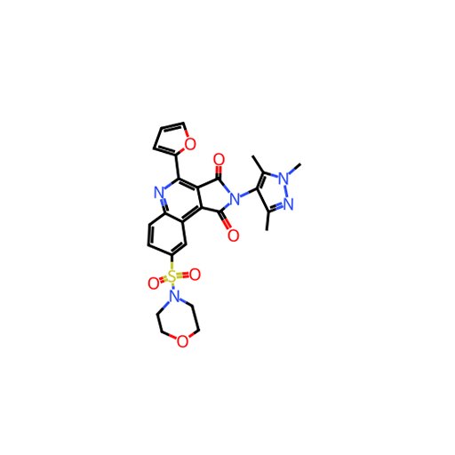 Cc1nn(C)c(C)c1N1C(=O)c2c(-c3ccco3)nc3ccc(S(=O)(=O)N4CCOCC4)cc3c2C1=O